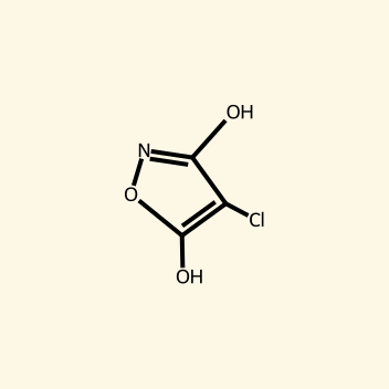 Oc1noc(O)c1Cl